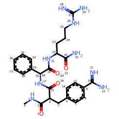 CNC(=O)C(Cc1ccc(C(=N)N)cc1)C(=O)N[C@H](C(=O)NC(CCCNC(=N)N)C(N)=O)c1ccccc1